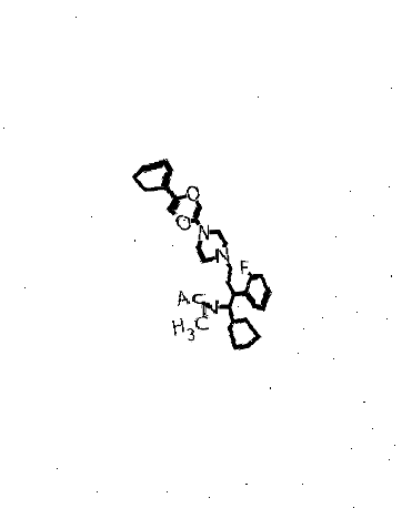 CC(=O)N(C)C(C1CCCCC1)C(CCN1CCN(C2=COC(C3=CC=CCC3)=CO2)CC1)c1ccccc1F